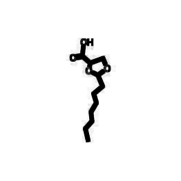 CCCCCCCC1OCC(C(=O)O)O1